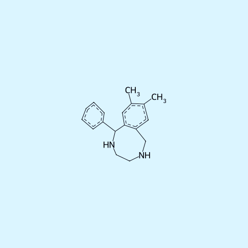 Cc1cc2c(cc1C)C(c1ccccc1)NCCNC2